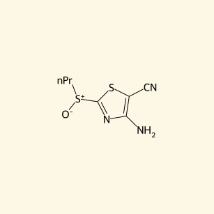 CCC[S+]([O-])c1nc(N)c(C#N)s1